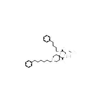 CC(C)C[C@@H]1NC(=O)C2(CCN(CCCCCCc3ccccc3)CC2)N(CCCCc2ccccc2)C1=O